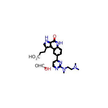 CN(C)CCN(C)c1nccc(-c2ccc3[nH]c(=O)c4[nH]cc(CCC(=O)O)c4c3c2)n1.O=CO